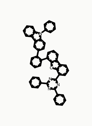 c1ccc(-c2nc(-c3ccccc3)nc(-c3cccc4c3oc3c(-c5ccccc5-c5ccc6c(c5)c5ccccc5n6-c5ccccc5)cccc34)n2)cc1